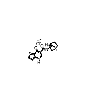 O=C(N[C@H]1CN2CCC1CC2)c1c[nH]c2ccsc2c1=O.[Cl-].[H+]